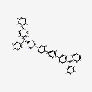 C=C(/C=C\C(=C/C)c1ccc(-c2ccc(-c3ccc(N(c4cc#ccc4)c4ccccc4)cc3)cc2)cc1)N(C(/C=C\Cc1ccccc1)=C/CC)c1ccccc1